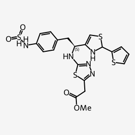 COC(=O)Cc1nnc(N[C@@H](Cc2ccc(N[SH](=O)=O)cc2)C2=CSC(c3cccs3)N2)s1